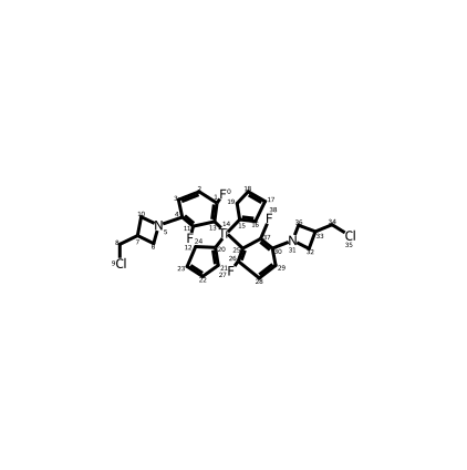 Fc1ccc(N2CC(CCl)C2)c(F)[c]1[Ti]([C]1=CC=CC1)([C]1=CC=CC1)[c]1c(F)ccc(N2CC(CCl)C2)c1F